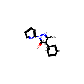 CC1=NN(c2ccccn2)C(=O)C1c1ccccc1